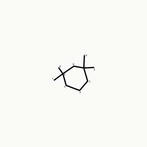 [CH2]C1(C)CCCC(C)(C)C1